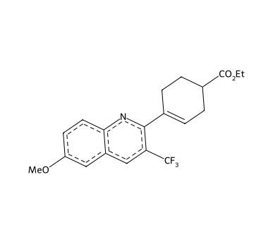 CCOC(=O)C1CC=C(c2nc3ccc(OC)cc3cc2C(F)(F)F)CC1